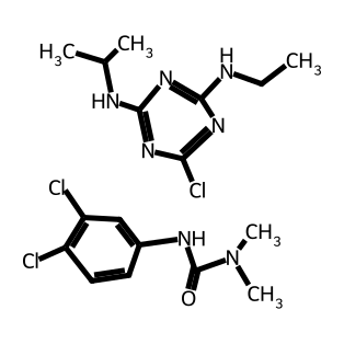 CCNc1nc(Cl)nc(NC(C)C)n1.CN(C)C(=O)Nc1ccc(Cl)c(Cl)c1